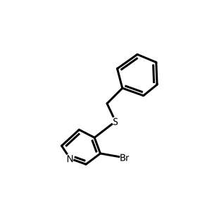 Brc1cnccc1SCc1ccccc1